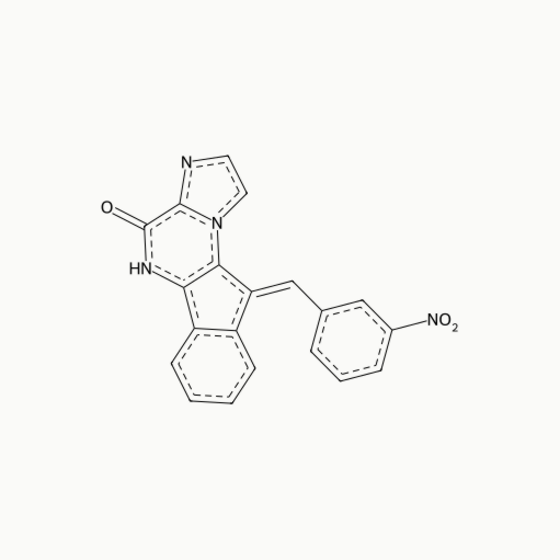 O=c1[nH]c2c3ccccc3c(=Cc3cccc([N+](=O)[O-])c3)c2n2ccnc12